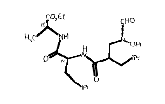 CCOC(=O)[C@H](C)NC(=O)[C@H](CC(C)C)NC(=O)C(CC(C)C)CN(O)C=O